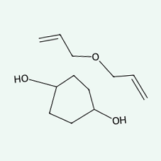 C=CCOCC=C.OC1CCC(O)CC1